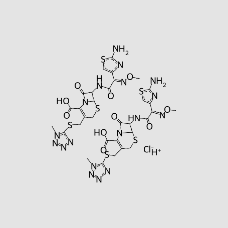 CO/N=C(/C(=O)NC1C(=O)N2C(C(=O)O)=C(CSc3nnnn3C)CSC12)c1csc(N)n1.CO/N=C(/C(=O)NC1C(=O)N2C(C(=O)O)=C(CSc3nnnn3C)CSC12)c1csc(N)n1.[Cl-].[H+]